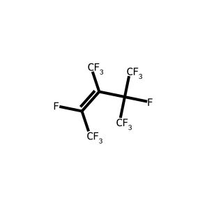 FC(=C(C(F)(F)F)C(F)(C(F)(F)F)C(F)(F)F)C(F)(F)F